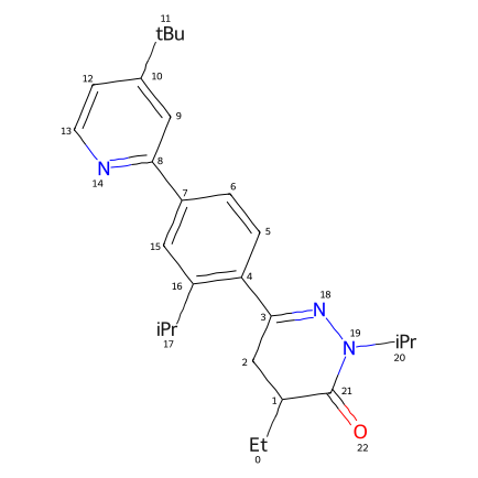 CCC1CC(c2ccc(-c3cc(C(C)(C)C)ccn3)cc2C(C)C)=NN(C(C)C)C1=O